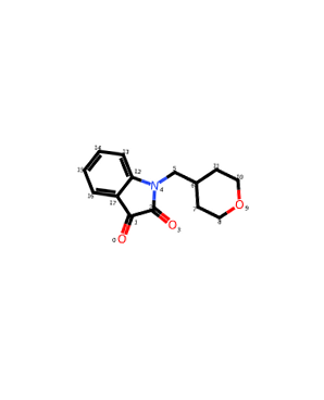 O=C1C(=O)N(CC2CCOCC2)c2ccccc21